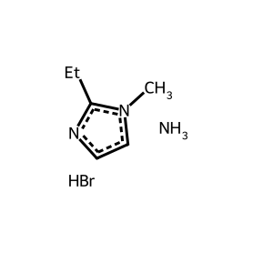 Br.CCc1nccn1C.N